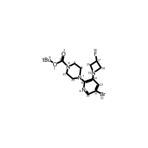 CC(C)(C)OC(=O)N1CCN(c2ncc(Br)cc2N2CC(F)C2)CC1